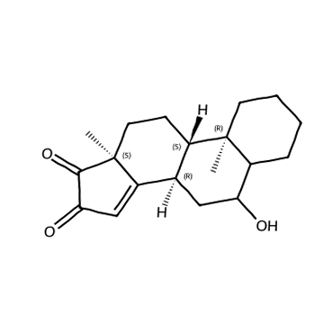 C[C@]12CC[C@H]3[C@@H](CC(O)C4CCCC[C@@]43C)C1=CC(=O)C2=O